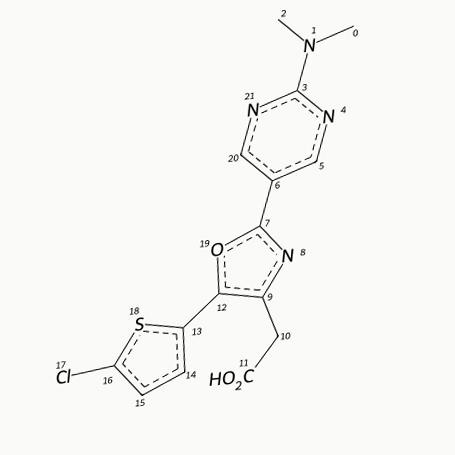 CN(C)c1ncc(-c2nc(CC(=O)O)c(-c3ccc(Cl)s3)o2)cn1